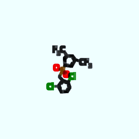 O=S(=O)(Cc1c(Cl)cccc1Cl)c1cc(C(F)(F)F)cc(C(F)(F)F)c1